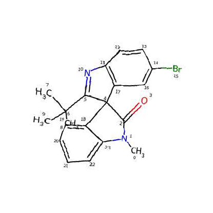 CN1C(=O)C2(C(C(C)(C)C)=Nc3ccc(Br)cc32)c2ccccc21